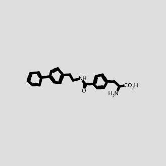 NC(Cc1ccc(C(=O)NCCc2ccc(-c3ccccc3)cc2)cc1)C(=O)O